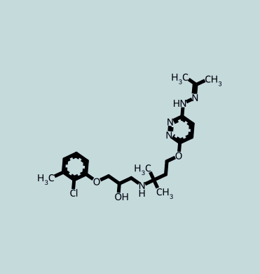 CC(C)=NNc1ccc(OCCC(C)(C)NCC(O)COc2cccc(C)c2Cl)nn1